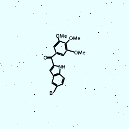 COc1cc(C(=O)c2cc3cc(Br)ccc3[nH]2)cc(OC)c1OC